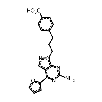 Nc1nc(-c2ccco2)c2cnn(CCCc3ccc(C(=O)O)cc3)c2n1